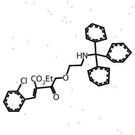 CCOC(=O)C(=Cc1ccccc1Cl)C(=O)COCCNC(c1ccccc1)(c1ccccc1)c1ccccc1